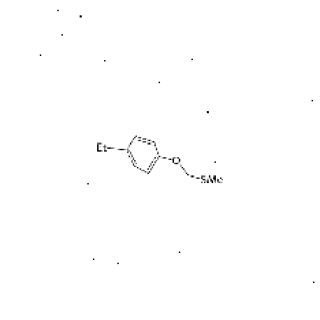 CCc1ccc(OCSC)cc1